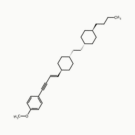 CCCC[C@H]1CC[C@H](CC[C@H]2CC[C@H](C=CC#Cc3ccc(OC)cc3)CC2)CC1